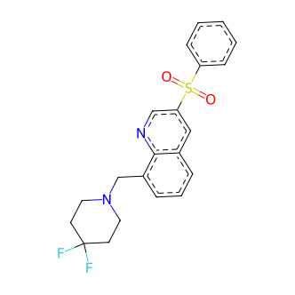 O=S(=O)(c1ccccc1)c1cnc2c(CN3CCC(F)(F)CC3)cccc2c1